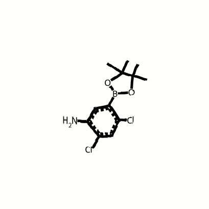 CC1(C)OB(c2cc(N)c(Cl)cc2Cl)OC1(C)C